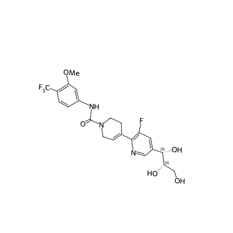 COc1cc(NC(=O)N2CC=C(c3ncc([C@H](O)[C@@H](O)CO)cc3F)CC2)ccc1C(F)(F)F